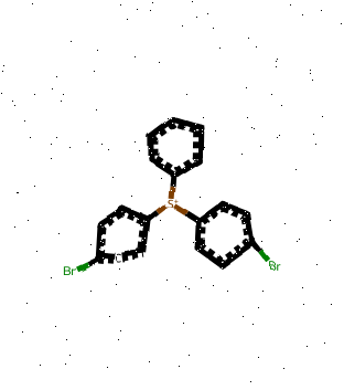 Brc1ccc([S+](c2ccccc2)c2ccc(Br)cc2)cc1